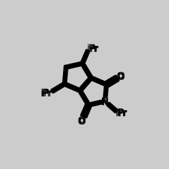 CC(C)C1CC(C(C)C)C2C(=O)N(C(C)C)C(=O)C12